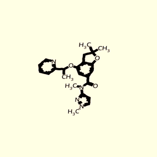 CC(Oc1cc(C(=O)N(C)c2ccn(C)n2)cc2c1CC(C)(C)O2)c1ccccn1